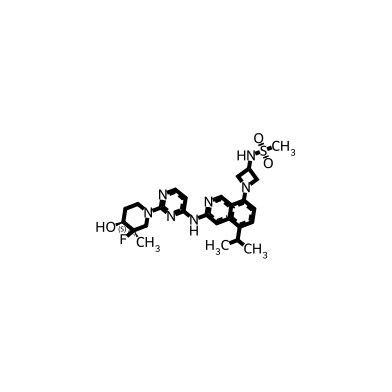 CC(C)c1ccc(N2CC(NS(C)(=O)=O)C2)c2cnc(Nc3ccnc(N4CC[C@H](O)[C@](C)(F)C4)n3)cc12